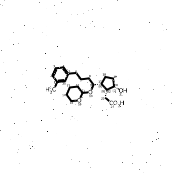 Cc1cccc(CCCC(OC2CCCCO2)[C@@H]2CC[C@H](O)[C@@H]2CC(=O)O)c1